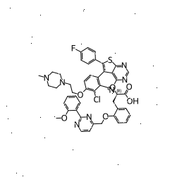 COc1ccccc1-c1nccc(COc2ccccc2C[C@@H](Oc2ncnc3sc(-c4ccc(F)cc4)c(-c4ccc(OCCN5CCN(C)CC5)c(Cl)c4C#N)c23)C(=O)O)n1